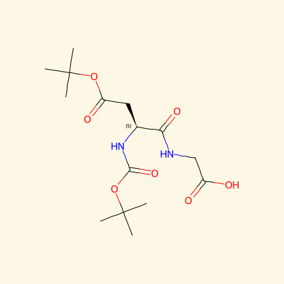 CC(C)(C)OC(=O)C[C@H](NC(=O)OC(C)(C)C)C(=O)NCC(=O)O